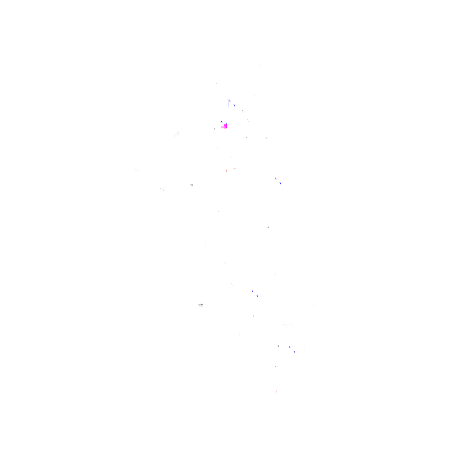 O=C1CCC(N2Cc3cc(-c4nccc(CN5C6CCC5CN(C(=O)c5ccccc5)C6)c4F)ccc3C2=O)C(=O)N1